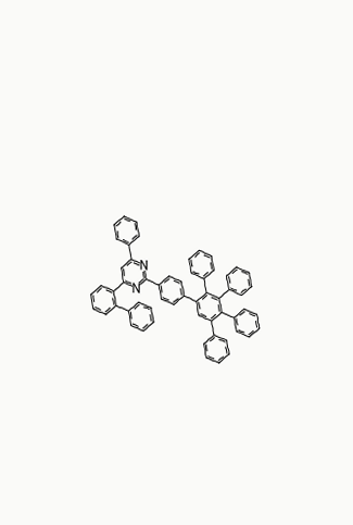 c1ccc(-c2cc(-c3ccccc3-c3ccccc3)nc(-c3ccc(-c4cc(-c5ccccc5)c(-c5ccccc5)c(-c5ccccc5)c4-c4ccccc4)cc3)n2)cc1